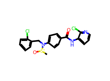 C[S+]([O-])N(Cc1ccccc1Cl)c1ccc(C(=O)Nc2cccnc2Cl)cc1